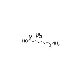 Cl.Cl.NC(=O)CCCCCCC(=O)O